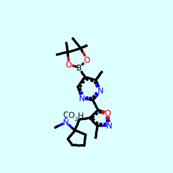 Cc1nc(-c2onc(C)c2CC2(N(C)C(=O)O)CCCC2)ncc1B1OC(C)(C)C(C)(C)O1